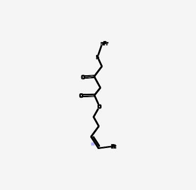 CC/C=C\CCOC(=O)CC(=O)CSCCC